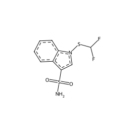 NS(=O)(=O)c1cn(SC(F)F)c2ccccc12